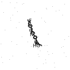 CCC(O)CN(C)OCc1ccc(-c2ccc(OCC3CCN(CC(C)(F)CC)CC3)cn2)cc1